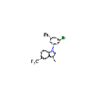 Cc1cn(-c2cc(Br)cc(C(C)C)c2)c2ccc(C(F)(F)F)cc12